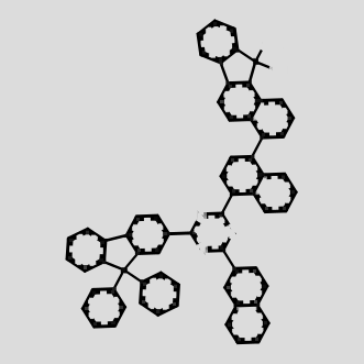 CC1(C)c2ccccc2-c2ccc3c(-c4ccc(-c5nc(-c6ccc7c(c6)C(c6ccccc6)(c6ccccc6)c6ccccc6-7)nc(-c6ccc7ccccc7c6)n5)c5ccccc45)cccc3c21